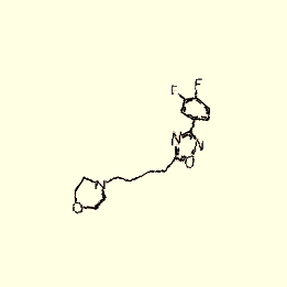 Fc1ccc(-c2noc(CCCCN3CCOCC3)n2)cc1F